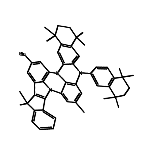 Cc1cc2c3c(c1)-n1c4c(c5cc(C(C)(C)C)cc(c51)B3c1cc3c(cc1N2c1ccc2c(c1)C(C)(C)CCC2(C)C)C(C)(C)CCC3(C)C)C(C)(C)c1ccccc1-4